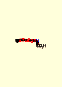 CN(CCOCCOCCOCCOCCOCCOCc1ccccc1)c1ccc(C(=O)O)cc1